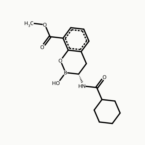 COC(=O)c1cccc2c1OB(O)[C@@H](NC(=O)C1CCCCC1)C2